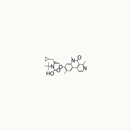 Cc1cc2c3ccnc(C)c3c(=O)n(C)c2cc1OC[C@H](CC1CC1)N(C(=O)O)C(C)(C)C